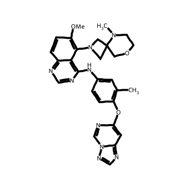 COc1ccc2ncnc(Nc3ccc(Oc4cc5ncnn5cn4)c(C)c3)c2c1N1CC2(COCCN2C)C1